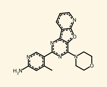 Cc1cc(N)ncc1-c1nc(N2CCOCC2)c2oc3ncccc3c2n1